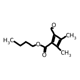 CCCCOC(=O)C1=C(C=O)C(C)=C1C